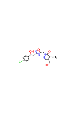 Cc1c(CO)cnn(Cc2nc(C[C@H](O)c3ccc(Cl)cc3)no2)c1=O